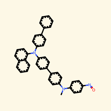 CN(c1ccc(N=O)cc1)c1ccc(-c2ccc(N(c3ccc(-c4ccccc4)cc3)c3cccc4ccccc34)cc2)cc1